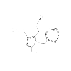 CCOC(=O)c1cc(C)n(Cc2cccnc2)c1CN=[N+]=[N-]